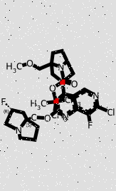 COCC12CCC(CN(c3nc(OC[C@@]45CCCN4C[C@H](F)C5)nc4c(F)c(Cl)ncc34)C1)N2C(=O)OC(C)(C)C